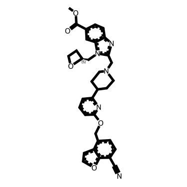 COC(=O)c1ccc2nc(CN3CCC(c4cccc(OCc5ccc(C#N)c6occc56)n4)CC3)n(C[C@@H]3CCO3)c2c1